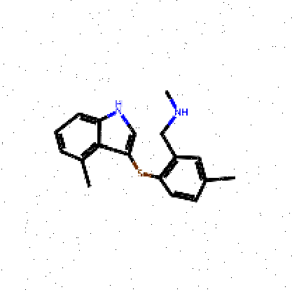 CNCc1cc(C)ccc1Sc1c[nH]c2cccc(C)c12